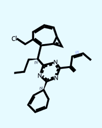 C=C(/C=C\C)c1nc([C@@H]2C=CC=CC2)nc([C@@H](CCC)C2=C(CCl)C=C=CC3C=C23)n1